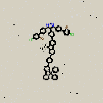 CC1(C)c2cc(-c3ccc(-c4ccc5c(c4)C(c4ccccc4)(c4ccccc4)c4ccccc4-5)cc3)ccc2-c2ccc(-c3ccc(-c4c(-c5ccc(-c6ccc(Cl)cc6Br)cc5)ncnc4-c4ccc(-c5ccc(Cl)cc5Br)cc4)cc3)cc21